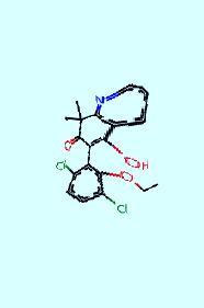 CCOc1c(Cl)ccc(Cl)c1C1=C(O)c2cccnc2C(C)(C)C1=O